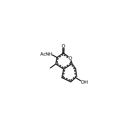 CC(=O)Nc1c(C)c2ccc(O)cc2oc1=O